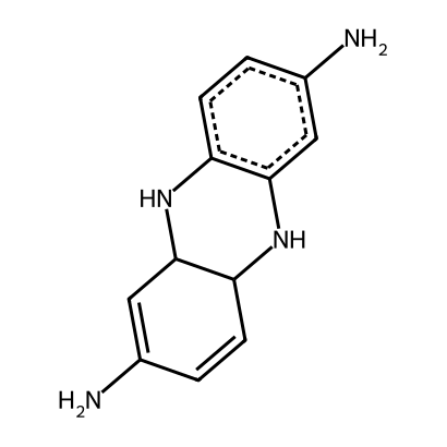 NC1=CC2Nc3ccc(N)cc3NC2C=C1